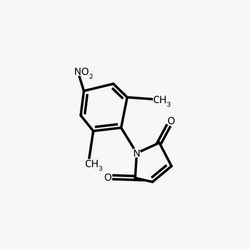 Cc1cc([N+](=O)[O-])cc(C)c1N1C(=O)C=CC1=O